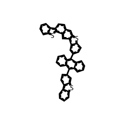 c1ccc2c(c1)sc1cc(-c3c4ccccc4c(-c4ccc5sc6cc7ccc8c9ccccc9sc8c7cc6c5c4)c4ccccc34)ccc12